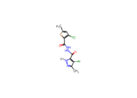 CCn1nc(C)c(Br)c1C(=O)NNC(=O)c1sc(C)cc1Cl